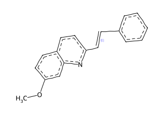 COc1ccc2ccc(/C=C/c3ccccc3)nc2c1